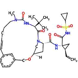 C=C[C@@H]1C[C@]1(NC(=O)[C@@H]1C[C@@H]2CN1C(=O)[C@H](C(C)(C)C)NC(=O)N(C)CCC/C=C/c1cccc(c1)CO2)C(=O)NS(=O)(=O)C1CC1